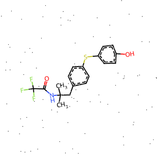 CC(C)(Cc1ccc(Sc2ccc(O)cc2)cc1)NC(=O)C(F)(F)F